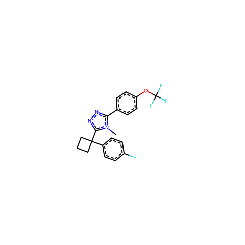 Cn1c(-c2ccc(OC(F)(F)F)cc2)nnc1C1(c2ccc(F)cc2)CCC1